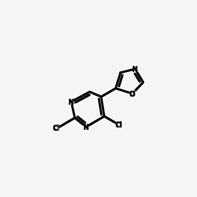 Clc1ncc(-c2cnco2)c(Cl)n1